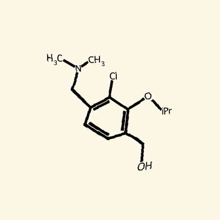 CC(C)Oc1c(CO)ccc(CN(C)C)c1Cl